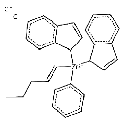 CCCC=[CH][Zr+2]([c]1ccccc1)([CH]1C=Cc2ccccc21)[CH]1C=Cc2ccccc21.[Cl-].[Cl-]